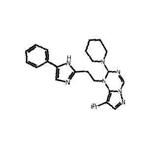 CC(C)c1cnn2c1N(CCc1ncc(-c3ccccc3)[nH]1)C(N1CCCCC1)N=C2